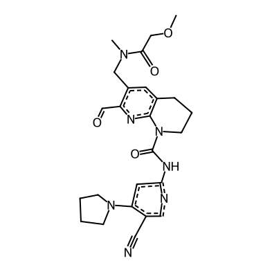 COCC(=O)N(C)Cc1cc2c(nc1C=O)N(C(=O)Nc1cc(N3CCCC3)c(C#N)cn1)CCC2